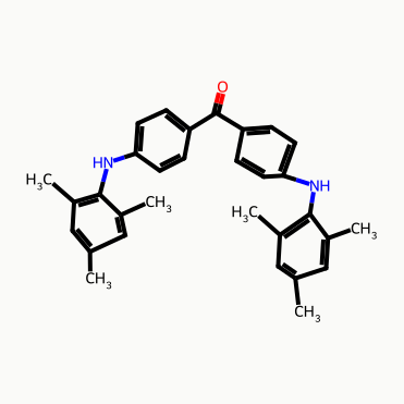 Cc1cc(C)c(Nc2ccc(C(=O)c3ccc(Nc4c(C)cc(C)cc4C)cc3)cc2)c(C)c1